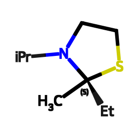 CC[C@]1(C)SCCN1C(C)C